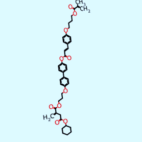 C=C(C)C(=O)OCCCCOc1ccc(/C=C/C(=O)Oc2ccc(-c3ccc(OCCCOC(=O)C(=C)CC(=O)OC4CCCCC4)cc3)cc2)cc1